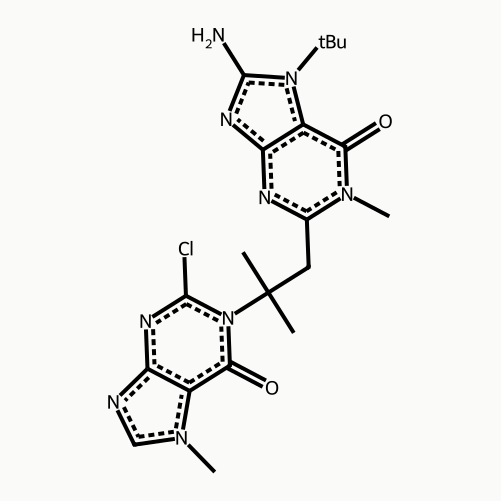 Cn1c(CC(C)(C)n2c(Cl)nc3ncn(C)c3c2=O)nc2nc(N)n(C(C)(C)C)c2c1=O